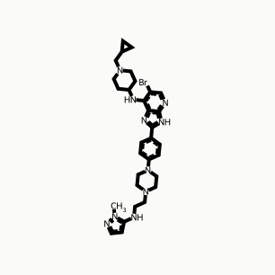 Cn1nccc1NCCN1CCN(c2ccc(-c3nc4c(NC5CCN(CC6CC6)CC5)c(Br)cnc4[nH]3)cc2)CC1